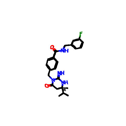 CC(C)[C@]1(C)CC(=O)N(Cc2ccc(C(=O)NCc3cccc(F)c3)cc2)C(=N)N1